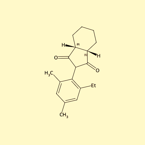 CCc1cc(C)cc(C)c1C1C(=O)[C@H]2CCCC[C@H]2C1=O